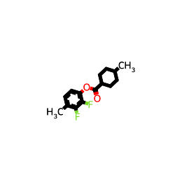 Cc1ccc(OC(=O)C2CCC(C)CC2)c(F)c1F